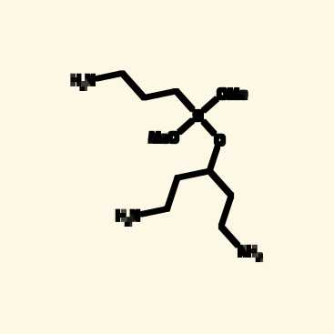 CO[Si](CCCN)(OC)OC(CCN)CCN